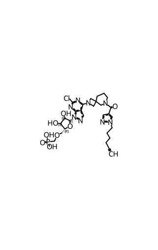 C#CCCCCn1cc(C(=O)N2CCCC3(C2)CN(c2nc(Cl)nc4c2cnn4[C@@H]2O[C@H](COCP(=O)(O)O)[C@@H](O)[C@H]2O)C3)cn1